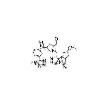 C=C(C(N)CN1C[C@@H](Nc2cccc(-c3nnn[nH]3)c2)CC1C=O)N1CC(C)CC1C#N